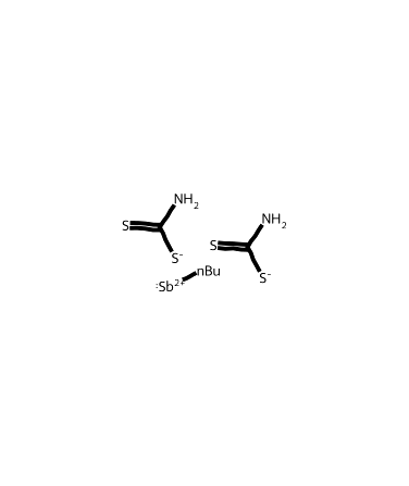 CCC[CH2][Sb+2].NC(=S)[S-].NC(=S)[S-]